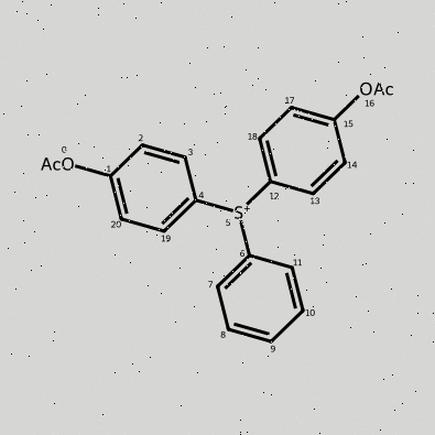 CC(=O)Oc1ccc([S+](c2ccccc2)c2ccc(OC(C)=O)cc2)cc1